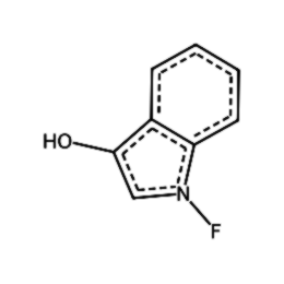 Oc1cn(F)c2ccccc12